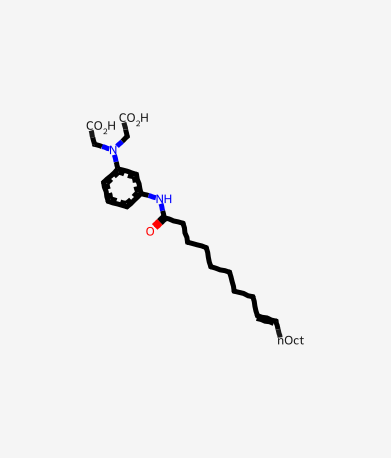 CCCCCCCCC=CCCCCCCCC(=O)Nc1cccc(N(CC(=O)O)CC(=O)O)c1